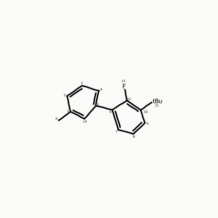 Cc1cccc(-c2cccc(C(C)(C)C)c2F)c1